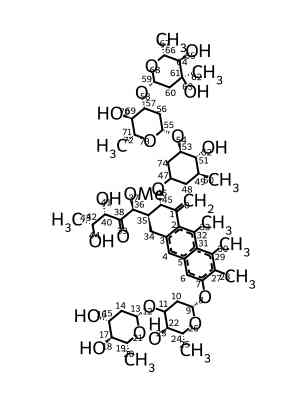 C=C1c2c(cc3cc(O[C@H]4CC(O[C@H]5C[C@@H](O)[C@H](O)[C@@H](C)O5)[C@H](O)[C@@H](C)O4)c(C)c(C)c3c2C)C[C@@H]([C@H](OC)C(=O)[C@@H](O)[C@@H](C)O)[C@@H]1OC1C[C@H](C)[C@@H](O)[C@H](O[C@H]2C[C@@H](O[C@H]3C[C@](C)(O)[C@H](O)[C@@H](C)O3)[C@H](O)[C@@H](C)O2)C1